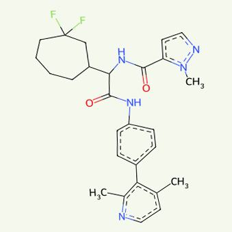 Cc1ccnc(C)c1-c1ccc(NC(=O)C(NC(=O)c2ccnn2C)C2CCCCC(F)(F)C2)cc1